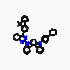 CC1(C)c2ccccc2-c2ccc(-c3nc(-n4c5ccccc5c5c6c7ccccc7n(-c7ccc(-c8ccccc8)cc7)c6ccc54)nc4ccccc34)cc21